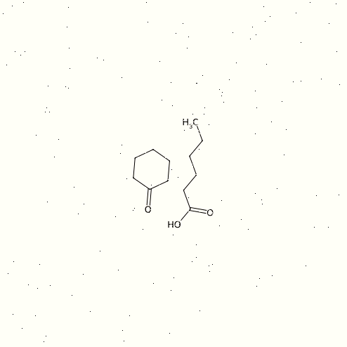 CCCCCC(=O)O.O=C1CCCCC1